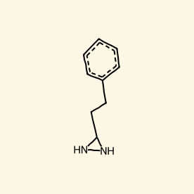 c1ccc(CCC2NN2)cc1